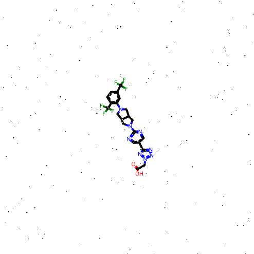 O=C(O)Cn1nnc(-c2cnc(N3CC4CN(c5cc(C(F)(F)F)ccc5C(F)(F)F)CC4C3)nc2)n1